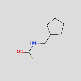 O=C(F)NCC1CCCC1